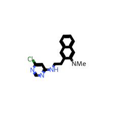 CNc1cc2ccccc2cc1CCNc1cc(Cl)ncn1